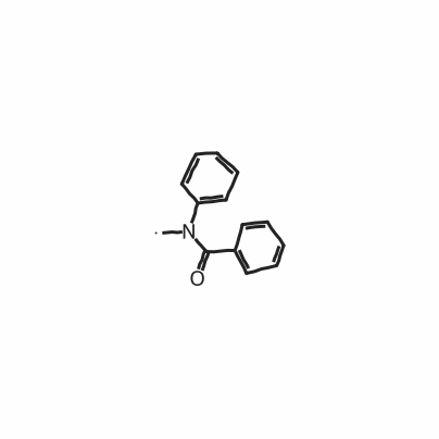 [CH2]N(C(=O)c1ccccc1)c1ccccc1